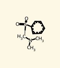 CN(C)C.O=S(=O)(I)c1ccccc1